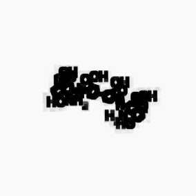 Nc1c(N=Nc2ccc(-c3ccc(N=Nc4cc(S(=O)(=O)O)c5c(I)ccc(O)c5c4N)c(C(=O)O)c3)cc2C(=O)O)cc(S(=O)(=O)O)c2c(I)ccc(O)c12